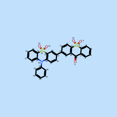 O=C1c2ccccc2S(=O)(=O)c2ccc(-c3ccc4c(c3)S(=O)(=O)c3ccccc3N4c3ccccc3)cc21